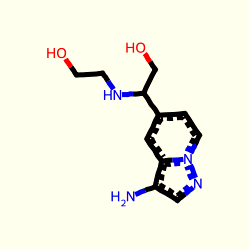 Nc1cnn2ccc(C(CO)NCCO)cc12